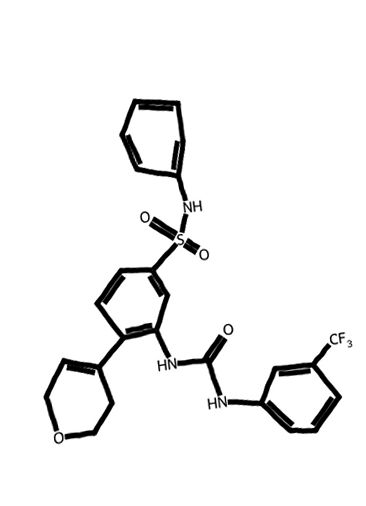 O=C(Nc1cccc(C(F)(F)F)c1)Nc1cc(S(=O)(=O)Nc2ccccc2)ccc1C1=CCOCC1